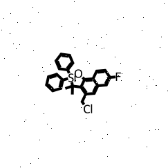 CC1(C)c2c(CCl)cc3cc(F)ccc3c2O[Si]1(c1ccccc1)c1ccccc1